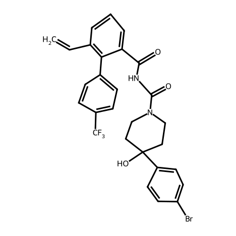 C=Cc1cccc(C(=O)NC(=O)N2CCC(O)(c3ccc(Br)cc3)CC2)c1-c1ccc(C(F)(F)F)cc1